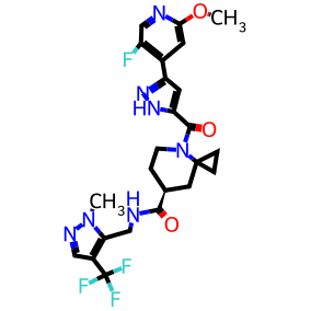 COc1cc(-c2cc(C(=O)N3CC[C@H](C(=O)NCc4c(C(F)(F)F)cnn4C)CC34CC4)[nH]n2)c(F)cn1